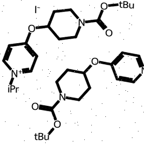 CC(C)(C)OC(=O)N1CCC(Oc2ccncc2)CC1.CC(C)[n+]1ccc(OC2CCN(C(=O)OC(C)(C)C)CC2)cc1.[I-]